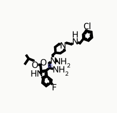 CC(C)COC(=O)c1[nH]c2ccc(F)cc2c1/C(N)=C/N(N)CC1CCN(CCNCc2cccc(Cl)c2)CC1